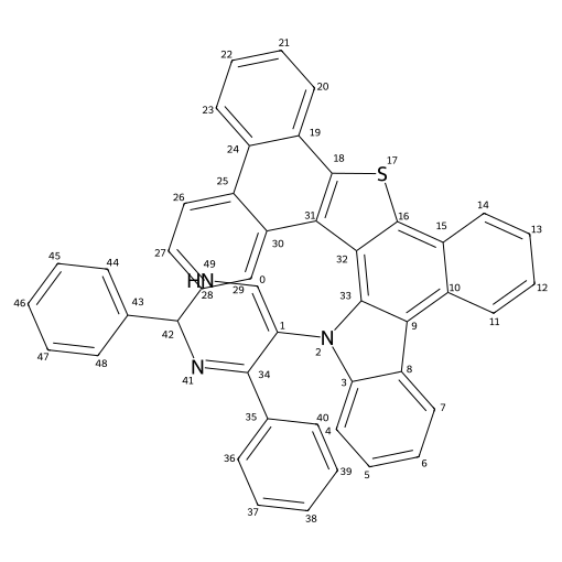 C1=C(n2c3ccccc3c3c4ccccc4c4sc5c6ccccc6c6ccccc6c5c4c32)C(c2ccccc2)=NC(c2ccccc2)N1